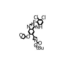 CC(C)(C)OC(=O)N1CC(c2cc3c(Nc4ccc(Cl)c(Cl)c4F)ncnc3cc2O[C@H]2CCOC2)C1